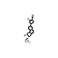 CCC[C@H]1Cc2ccc3cc(-c4ccc(C#N)c(F)c4)ccc3c2C[C@@H]1F